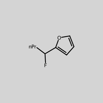 CCCC(F)c1ccco1